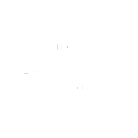 CC=CC(=O)[C@@H]1[C@H](C)CCCC12CCCC2